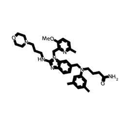 COc1ccc(C)nc1Cn1c(NCCCN2CCOCC2)nc2ccc(CN(CCCC(N)=O)c3cc(C)cc(C)c3)cc21